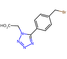 O=C(O)Cn1nnnc1-c1ccc(CBr)cc1